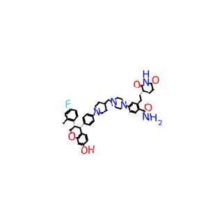 Cc1cc(F)ccc1[C@H]1COc2cc(O)ccc2[C@H]1c1ccc(N2CCC(CN3CCN(c4ccc(C(N)=O)c(CC[C@H]5CCC(=O)NC5=O)c4)CC3)CC2)cc1